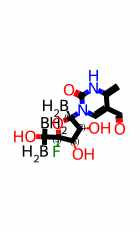 BC(B)(O)[C@@]1(F)O[C@@](B)(N2C=C(C=O)C(=C)NC2=O)[C@H](O)[C@@H]1O